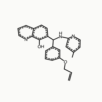 C=CCOc1cccc(C(Nc2cc(C)ccn2)c2ccc3cccnc3c2O)c1